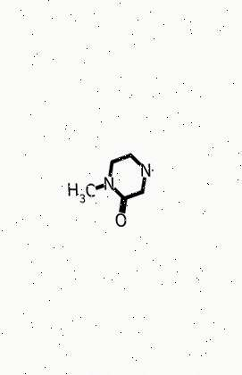 CN1CC[N]CC1=O